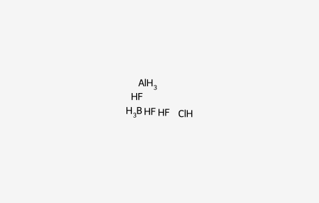 B.Cl.F.F.F.[AlH3]